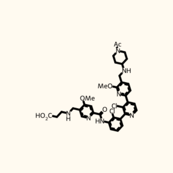 COc1cc(C(=O)Nc2cccc(-c3nccc(-c4ccc(CNC5CCN(C(C)=O)CC5)c(OC)n4)c3Cl)c2Cl)ncc1CNCCC(=O)O